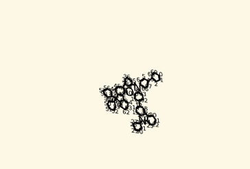 c1ccc(-c2ccc(N(c3ccc(-c4ccc5c(c4)c4ccccc4n5-c4ccccc4)cc3)c3cccc4c3oc3c5c(ccc34)C(c3ccccc3)(c3ccccc3)c3ccccc3-5)cc2)cc1